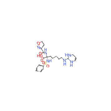 O=C(NC(CCCCCNC1NC=CCN1)(NS(=O)(=O)c1ccccc1)C(=O)O)C1=NOCC1